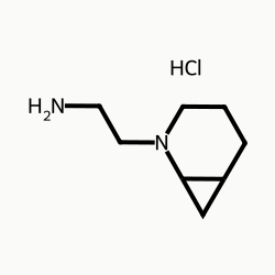 Cl.NCCN1CCCC2CC21